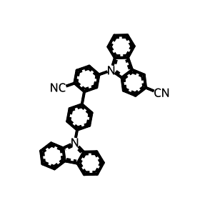 N#Cc1ccc2c(c1)c1ccccc1n2-c1ccc(C#N)c(-c2ccc(-n3c4ccccc4c4ccccc43)cc2)c1